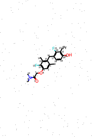 Cc1cc(OCC(=O)N(C)C)c(F)c(C)c1Cc1ccc(O)c(C(C)C)c1F